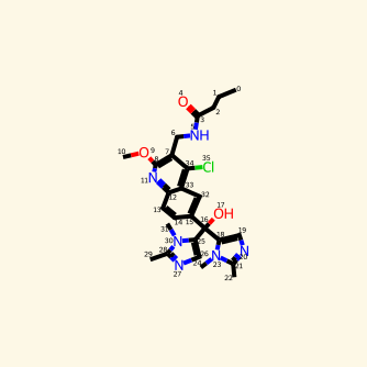 CCCC(=O)NCc1c(OC)nc2ccc(C(O)(c3cnc(C)n3C)c3cnc(C)n3C)cc2c1Cl